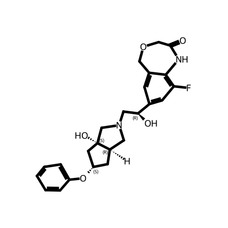 O=C1COCc2cc([C@@H](O)CN3C[C@H]4C[C@H](Oc5ccccc5)C[C@@]4(O)C3)cc(F)c2N1